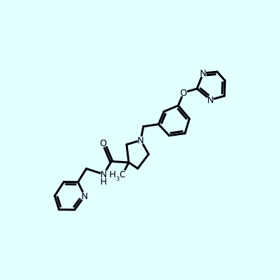 CC1(C(=O)NCc2ccccn2)CCN(Cc2cccc(Oc3ncccn3)c2)C1